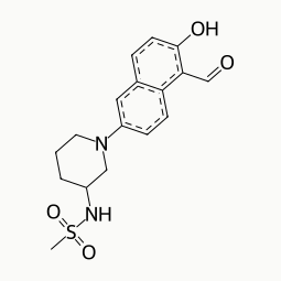 CS(=O)(=O)NC1CCCN(c2ccc3c(C=O)c(O)ccc3c2)C1